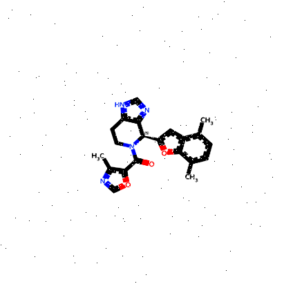 Cc1ncoc1C(=O)N1CCc2[nH]cnc2[C@H]1c1cc2c(C)ccc(C)c2o1